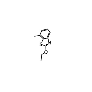 CCOc1nc2cccc(C)c2s1